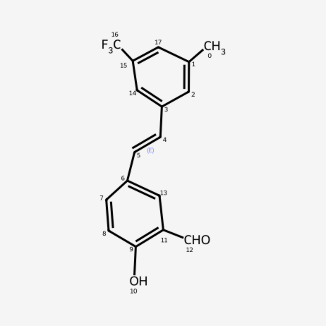 Cc1cc(/C=C/c2ccc(O)c(C=O)c2)cc(C(F)(F)F)c1